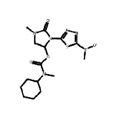 CN1CC(OC(=O)N(C)C2CCCCC2)N(c2nnc([S+](C)[O-])s2)C1=O